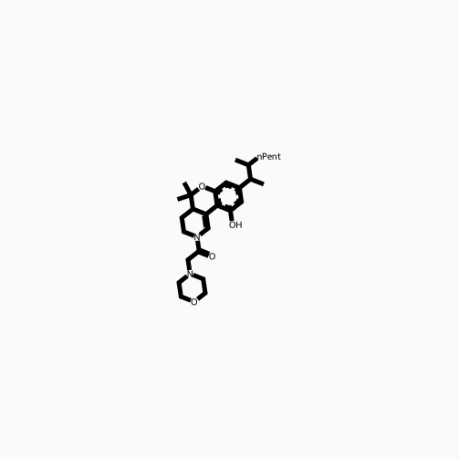 CCCCCC(C)C(C)c1cc(O)c2c(c1)OC(C)(C)C1CCN(C(=O)CN3CCOCC3)C=C21